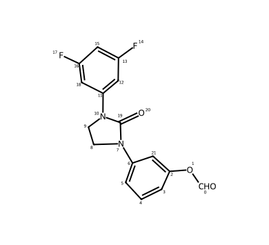 O=COc1cccc(N2CCN(c3cc(F)cc(F)c3)C2=O)c1